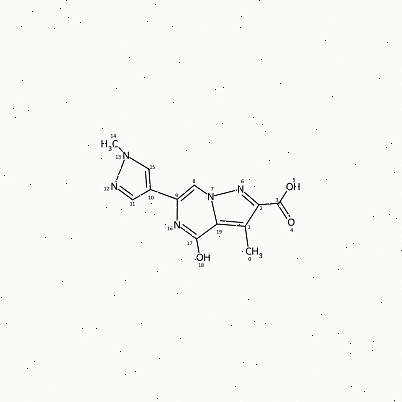 Cc1c(C(=O)O)nn2cc(-c3cnn(C)c3)nc(O)c12